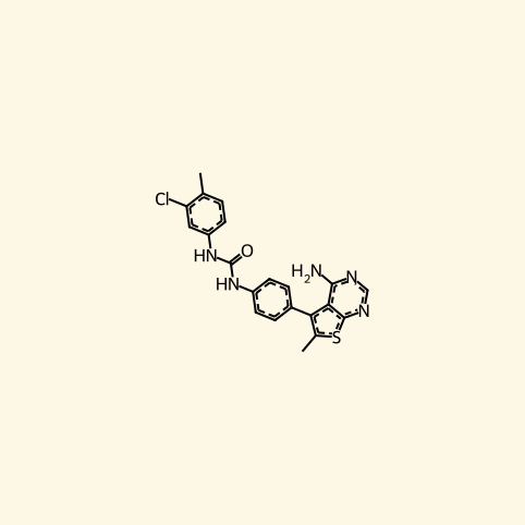 Cc1ccc(NC(=O)Nc2ccc(-c3c(C)sc4ncnc(N)c34)cc2)cc1Cl